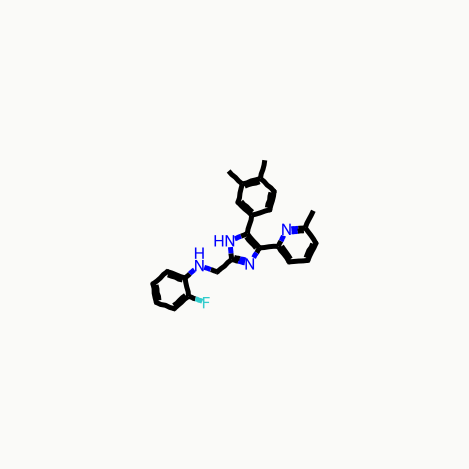 Cc1cccc(-c2nc(CNc3ccccc3F)[nH]c2-c2ccc(C)c(C)c2)n1